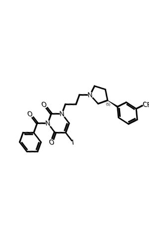 O=C(c1ccccc1)n1c(=O)c(I)cn(CCCN2CC[C@@H](c3cccc(C(F)(F)F)c3)C2)c1=O